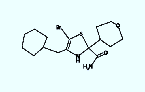 NC(=O)C1(C2CCOCC2)NC(CC2CCCCC2)=C(Br)S1